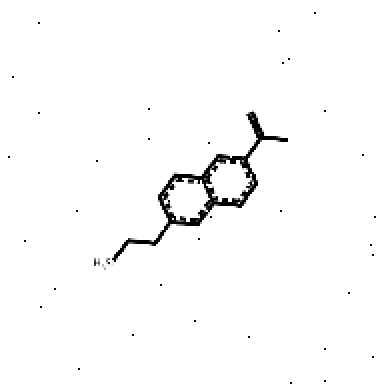 C=C(C)c1ccc2cc(CC[SiH3])ccc2c1